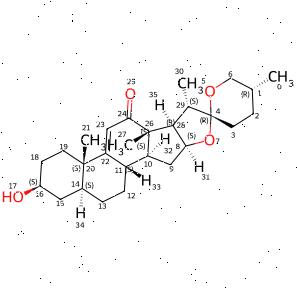 C[C@@H]1CC[C@@]2(OC1)O[C@H]1C[C@H]3[C@@H]4CC[C@H]5C[C@@H](O)CC[C@]5(C)C4=CC(=O)[C@]3(C)[C@H]1[C@@H]2C